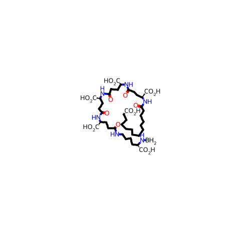 BN[C@@H](CCCCNC(=O)CC[C@H](NC(=O)CC[C@H](NC(=O)CC[C@H](NC(=O)CC[C@H](NC(=O)CCCCCCCCCCCCC(=O)O)C(=O)O)C(=O)O)C(=O)O)C(=O)O)C(=O)O